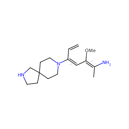 C=C/C(=C\C(OC)=C(/C)N)N1CCC2(CCNC2)CC1